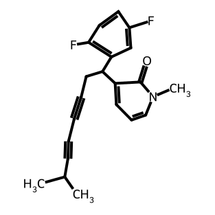 CC(C)C#CC#CCC(c1cc(F)ccc1F)c1cccn(C)c1=O